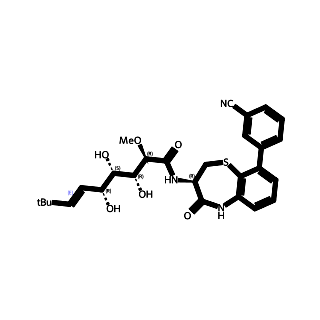 CO[C@@H](C(=O)N[C@H]1CSc2c(cccc2-c2cccc(C#N)c2)NC1=O)[C@H](O)[C@@H](O)[C@H](O)/C=C/C(C)(C)C